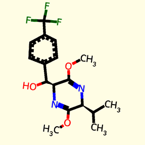 COC1=N[C@@H](C(O)c2ccc(C(F)(F)F)cc2)C(OC)=N[C@H]1C(C)C